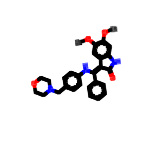 CCOc1cc2c(cc1OCC)C(=C(Nc1ccc(CN3CCOCC3)cc1)c1ccccc1)C(=O)N2